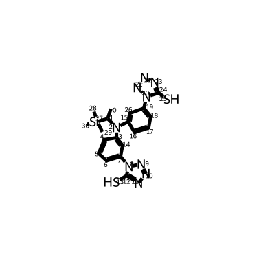 CC(N(c1cccc(-n2nnnc2S)c1)c1cccc(-n2nnnc2S)c1)[Si](C)(C)C